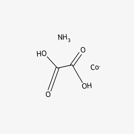 N.O=C(O)C(=O)O.[Co]